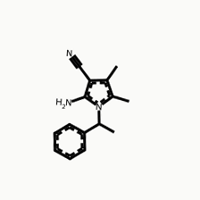 Cc1c(C#N)c(N)n(C(C)c2ccccc2)c1C